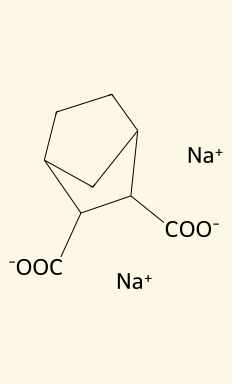 O=C([O-])C1C2CCC(C2)C1C(=O)[O-].[Na+].[Na+]